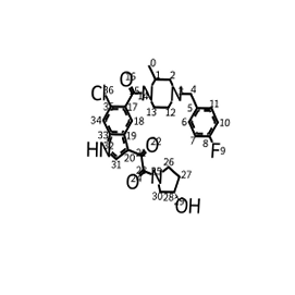 CC1CN(Cc2ccc(F)cc2)CCN1C(=O)c1cc2c(C(=O)C(=O)N3CC[C@H](O)C3)c[nH]c2cc1Cl